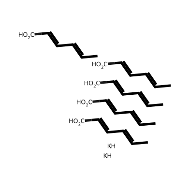 CC=CC=CC(=O)O.CC=CC=CC(=O)O.CC=CC=CC(=O)O.CC=CC=CC(=O)O.CC=CC=CC(=O)O.[KH].[KH]